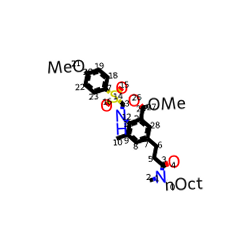 CCCCCCCCN(C)C(=O)CCc1cc(C)c(NCS(=O)(=O)c2ccc(OC)cc2)c(C(=O)OC)c1